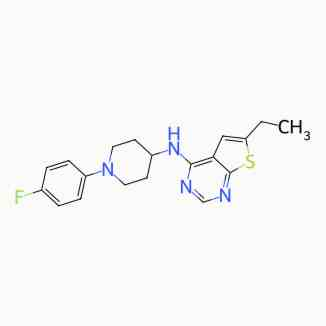 CCc1cc2c(NC3CCN(c4ccc(F)cc4)CC3)ncnc2s1